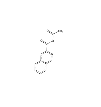 CC(=O)OC(=O)c1cc2ccccc2cn1